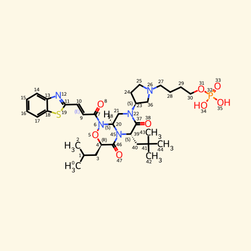 CC(C)C[C@H]1ON(C(=O)/C=C/c2nc3ccccc3s2)[C@H]2CN([C@H]3CCN(CCCCOP(=O)(O)O)C3)C(=O)[C@H](CC(C)(C)C)N2C1=O